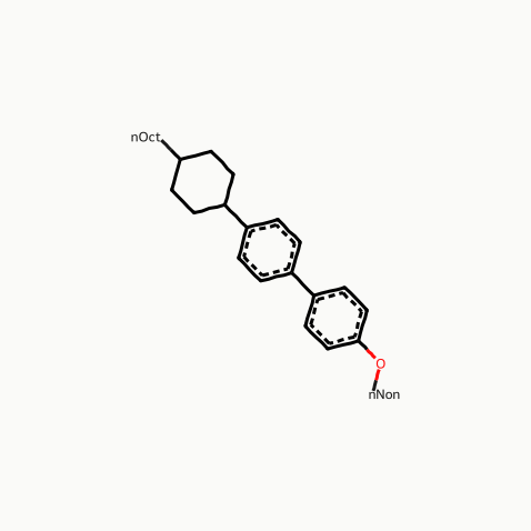 CCCCCCCCCOc1ccc(-c2ccc(C3CCC(CCCCCCCC)CC3)cc2)cc1